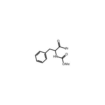 COC(=O)NC(Cc1ccccc1)C(=O)C(C)C